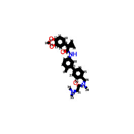 Cc1ccc(NC(=O)C2(c3ccc4c(c3)OCO4)CC2)cc1-c1ccc(CN(C)C(=O)CN(C)C)cc1